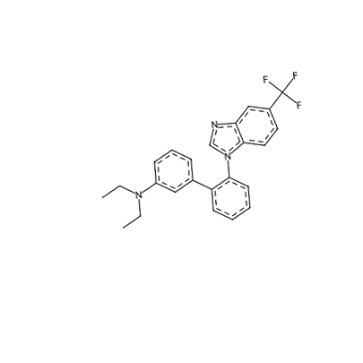 CCN(CC)c1cccc(-c2ccccc2-n2cnc3cc(C(F)(F)F)ccc32)c1